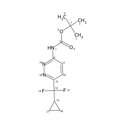 CC(C)(C)OC(=O)Nc1ccc(C(F)(F)C2CC2)nn1